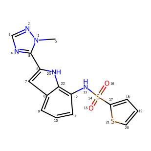 Cn1ncnc1-c1cc2cccc(NS(=O)(=O)c3cccs3)c2[nH]1